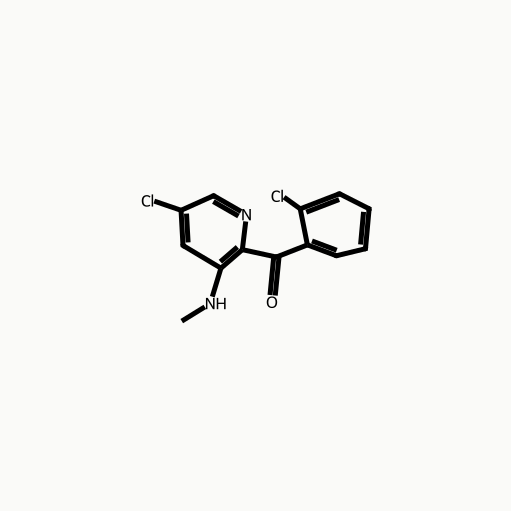 CNc1cc(Cl)cnc1C(=O)c1ccccc1Cl